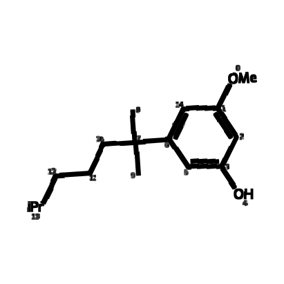 COc1cc(O)cc(C(C)(C)CCCC(C)C)c1